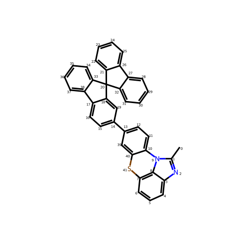 Cc1nc2cccc3c2n1-c1ccc(-c2ccc4c(c2)C2(c5ccccc5-c5ccccc52)c2ccccc2-4)cc1S3